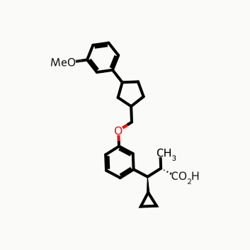 COc1cccc(C2CCC(COc3cccc([C@H](C4CC4)[C@H](C)C(=O)O)c3)C2)c1